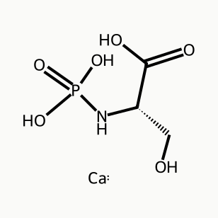 O=C(O)[C@H](CO)NP(=O)(O)O.[Ca]